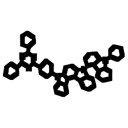 c1ccc(-c2nc(-c3ccccc3)nc(-c3ccc(-n4c5ccccc5c5c6c7ccccc7n(-c7cccc8c7c7ccccc7n8-c7ccccc7)c6ccc54)cc3)n2)cc1